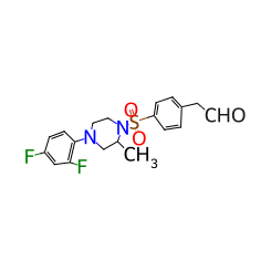 CC1CN(c2ccc(F)cc2F)CCN1S(=O)(=O)c1ccc(CC=O)cc1